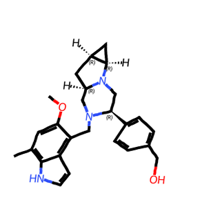 COc1cc(C)c2[nH]ccc2c1CN1C[C@H]2C[C@H]3C[C@H]3N2C[C@H]1c1ccc(CO)cc1